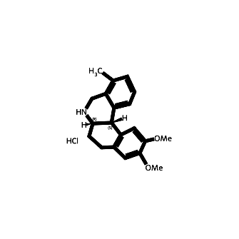 COc1cc2c(cc1OC)[C@H]1c3cccc(C)c3CN[C@@H]1CC2.Cl